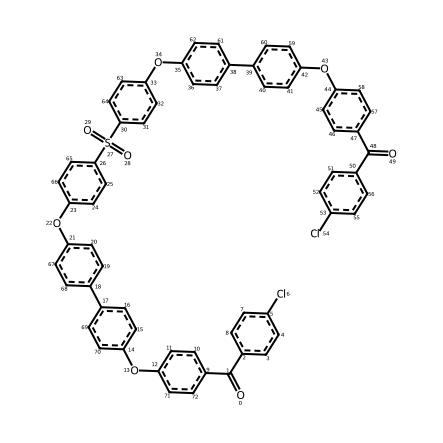 O=C(c1ccc(Cl)cc1)c1ccc(Oc2ccc(-c3ccc(Oc4ccc(S(=O)(=O)c5ccc(Oc6ccc(-c7ccc(Oc8ccc(C(=O)c9ccc(Cl)cc9)cc8)cc7)cc6)cc5)cc4)cc3)cc2)cc1